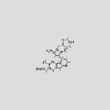 CCC(=O)N(COC)Cc1cc2nccc(-c3cc(N)c(C)n3C[C@@H]3CNCCO3)c2s1